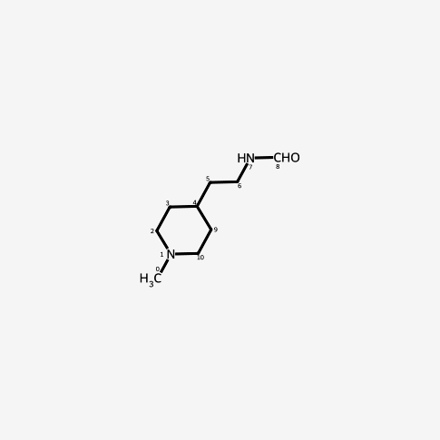 CN1CCC(CCNC=O)CC1